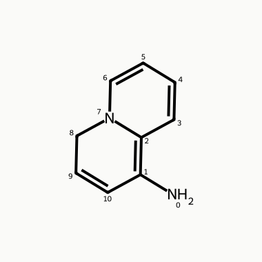 NC1=C2C=CC=CN2CC=C1